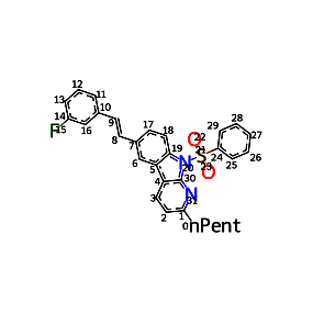 CCCCCc1ccc2c3cc(C=Cc4cccc(F)c4)ccc3n(S(=O)(=O)c3ccccc3)c2n1